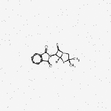 CC1(C)CN2C(=O)C(N3C(=O)c4ccccc4C3=O)[C@H]2S1